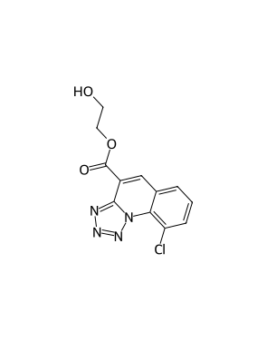 O=C(OCCO)c1cc2cccc(Cl)c2n2nnnc12